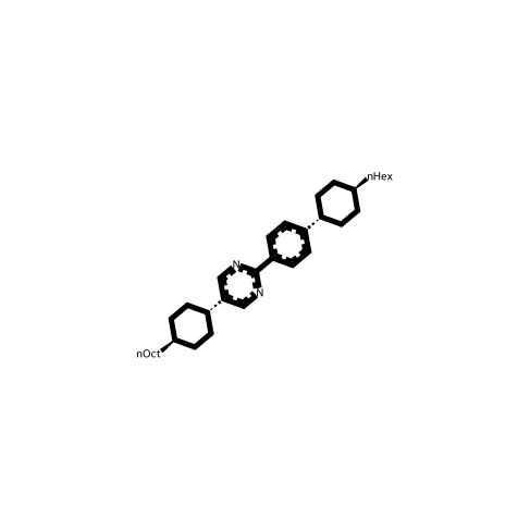 CCCCCCCC[C@H]1CC[C@H](c2cnc(-c3ccc([C@H]4CC[C@H](CCCCCC)CC4)cc3)nc2)CC1